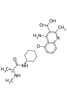 CN[C@@H](C)C(=O)N[C@H]1CC[C@H](Oc2cccc3nc(C)c(C(=O)O)c(N)c23)CC1